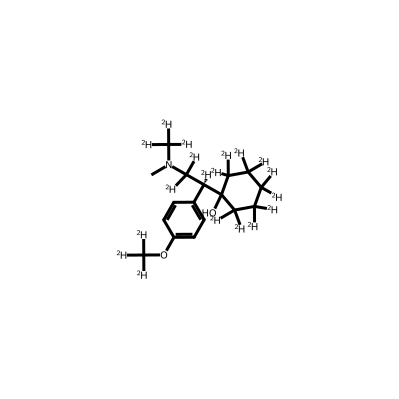 [2H]C([2H])([2H])Oc1ccc([C@@]([2H])(C([2H])([2H])N(C)C([2H])([2H])[2H])C2(O)C([2H])([2H])C([2H])([2H])C([2H])([2H])C([2H])([2H])C2([2H])[2H])cc1